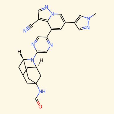 Cn1cc(-c2cc(-c3cnc(N4[C@@H]5CC6C[C@H]4CC(NC=O)(C6)C5)cn3)c3c(C#N)cnn3c2)cn1